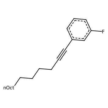 CCCCCCCCCCCCC#Cc1cccc(F)c1